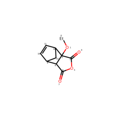 CCOC12C(=O)OC(=O)C1C1C=CC2C1